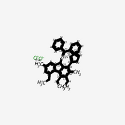 CCc1cc(C)cc2c1-c1c(CC)c(CC)c(C)c(C3=CC=CC3)c1[CH]2[Zr+2]=[C](c1ccccc1)c1ccccc1.[Cl-].[Cl-]